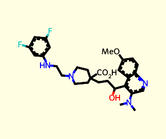 COc1ccc2ncc(N(C)C)c(C(O)CCC3(C(=O)O)CCN(CCNc4cc(F)cc(F)c4)CC3)c2c1